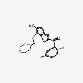 Cc1cc2cc(C(=O)c3cc(Cl)ccc3Cl)sc2n1CCN1CCOCC1